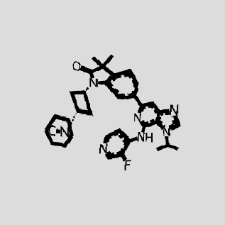 CC(C)n1cnc2cc(-c3ccc4c(c3)N([C@H]3C[C@@H](N5CC6CCC5CC6)C3)C(=O)C4(C)C)nc(Nc3ccncc3F)c21